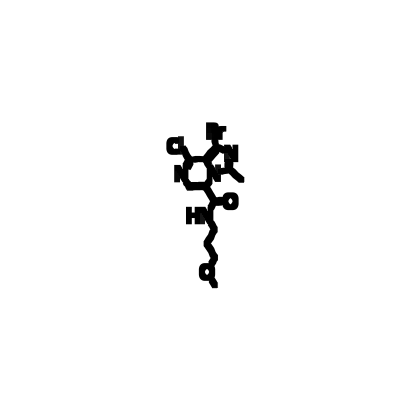 COCCCNC(=O)c1cnc(Cl)c2c(Br)nc(C)n12